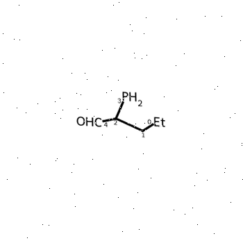 CCCC(P)C=O